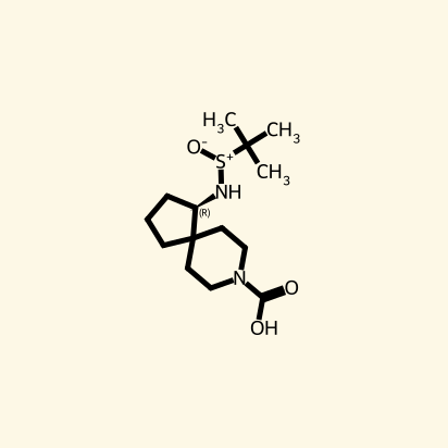 CC(C)(C)[S+]([O-])N[C@@H]1CCCC12CCN(C(=O)O)CC2